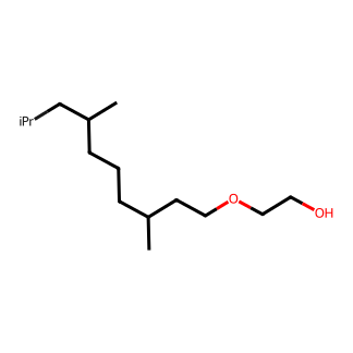 CC(C)CC(C)CCCC(C)CCOCCO